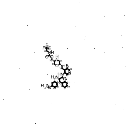 COc1ccc([C@@H](c2ccccc2)[C@H](N)C(=O)Nc2cncc(F)c2CC[C@@H]2CN[C@H](COC(=O)NCC(F)(F)F)CO2)cc1